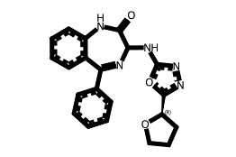 O=C1Nc2ccccc2C(c2ccccc2)=NC1Nc1nnc([C@H]2CCCO2)o1